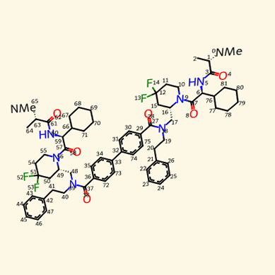 CN[C@@H](C)C(=O)N[C@H](C(=O)N1CCC(F)(F)C[C@H]1CN(CCc1ccccc1)C(=O)c1ccc(-c2ccc(C(=O)N(CCc3ccccc3)C[C@@H]3CC(F)(F)CCN3C(=O)[C@@H](NC(=O)[C@H](C)NC)C3CCCCC3)cc2)cc1)C1CCCCC1